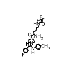 Cc1ccc(Nc2c(-c3ccc(F)cc3)nc3n2CCN(C(=O)[C@@H](N)CCCCNC(=O)C(F)(F)F)C3)cc1